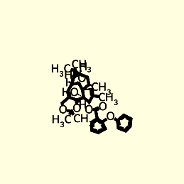 CC1=C[C@]23C(=O)[C@@H](C=C4COC(C)(C)O[C@H]4[C@]2(O)[C@H]1OC(=O)c1ccccc1Oc1ccccc1)[C@H]1[C@@H](C[C@H]3C)C1(C)C